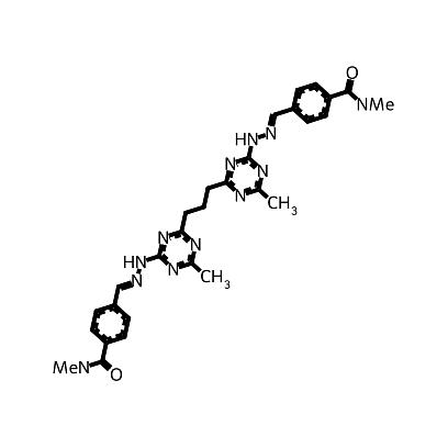 CNC(=O)c1ccc(/C=N/Nc2nc(C)nc(CCCc3nc(C)nc(N/N=C/c4ccc(C(=O)NC)cc4)n3)n2)cc1